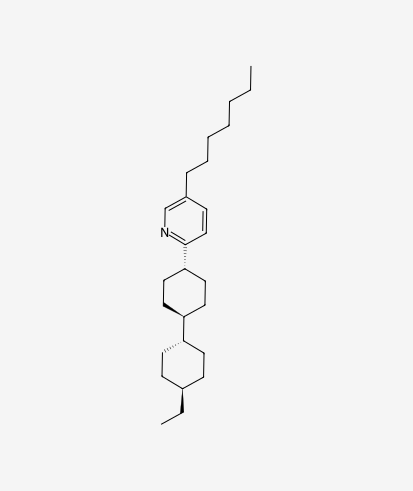 CCCCCCCc1ccc([C@H]2CC[C@H]([C@H]3CC[C@H](CC)CC3)CC2)nc1